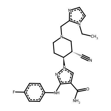 CCn1ccnc1CN1CC[C@H](n2cc(C(N)=O)c(Nc3ccc(F)cc3)n2)[C@@H](C#N)C1